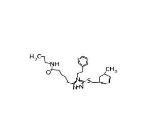 CCCNC(=O)CCCCc1nnc(SCC2=CC=CC(C)C2)n1CCc1ccccc1